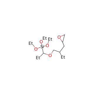 CCO[Si](OCC)(OCC)C(CC)OCC(CC)CC1CO1